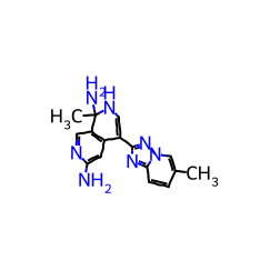 Cc1ccc2nc(C3=CNC(C)(N)c4cnc(N)cc43)nn2c1